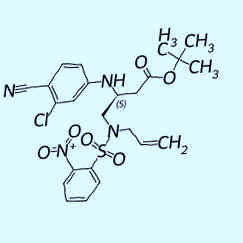 C=CCN(C[C@H](CC(=O)OC(C)(C)C)Nc1ccc(C#N)c(Cl)c1)S(=O)(=O)c1ccccc1[N+](=O)[O-]